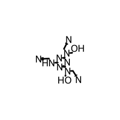 N#CCNc1nc(N(CO)CC#N)nc(N(CO)CC#N)n1